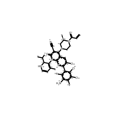 C=CC(=O)N1CCN(c2c(C#N)c(=O)n(C3=C(C)C=CNC3C(C)C)c3nc(-c4c(F)c(N)c(F)c(Cl)c4Cl)c(Cl)cc23)C[C@H]1C